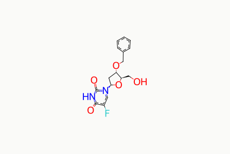 O=c1[nH]c(=O)n([C@H]2C[C@H](OCc3ccccc3)[C@@H](CO)O2)cc1F